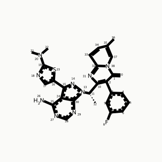 C=C1C(c2cccc(F)c2)=C([C@H](C)n2nc(-c3cnc(N(C)C)s3)c3c(N)ncnc32)N=C2C=CC(C)=CN12